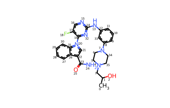 CC(O)CN1CCN(c2cccc(Nc3ncc(F)c(-n4cc(C(N)=O)c5ccccc54)n3)c2)CC1